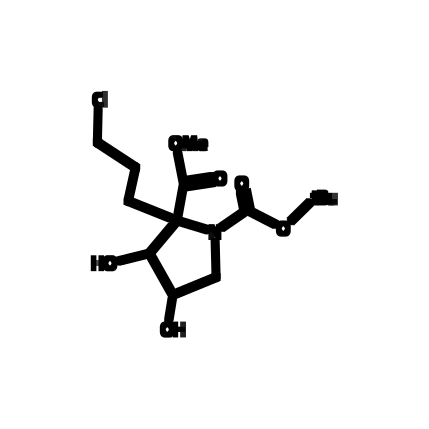 COC(=O)C1(CCCCl)C(O)C(O)CN1C(=O)OC(C)(C)C